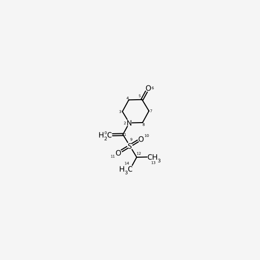 C=C(N1CCC(=O)CC1)S(=O)(=O)C(C)C